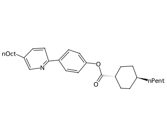 CCCCCCCCc1ccc(-c2ccc(OC(=O)[C@H]3CC[C@H](CCCCC)CC3)cc2)nc1